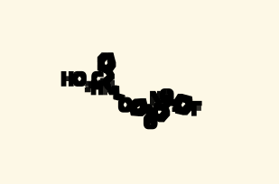 Nc1c(C(=O)c2ccc(F)cc2)ccc(=O)n1-c1ccc(OCCCN[C@@H](Cc2ccccc2)C(=O)O)cc1